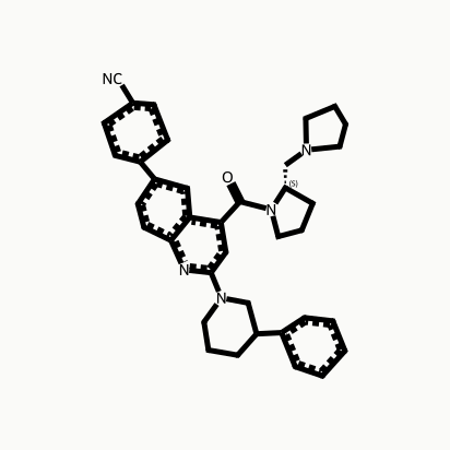 N#Cc1ccc(-c2ccc3nc(N4CCCC(c5ccccc5)C4)cc(C(=O)N4CCC[C@H]4CN4CCCC4)c3c2)cc1